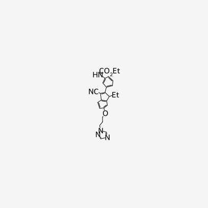 CCOC(=O)Nc1cccc(C2=C(C#N)c3ccc(OCCCn4cncn4)cc3C2CC)c1